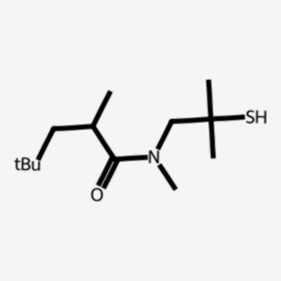 CC(CC(C)(C)C)C(=O)N(C)CC(C)(C)S